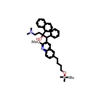 COc1nc2ccc(CCCCO[Si](C)(C)C(C)(C)C)cc2cc1C(c1ccccc1)C(O)(CCN(C)C)c1cccc2ccccc12